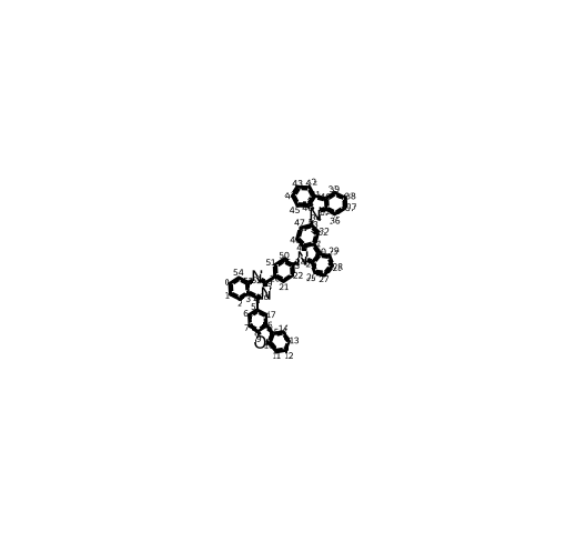 c1ccc2c(-c3ccc4oc5ccccc5c4c3)nc(-c3ccc(-n4c5ccccc5c5cc(-n6c7ccccc7c7ccccc76)ccc54)cc3)nc2c1